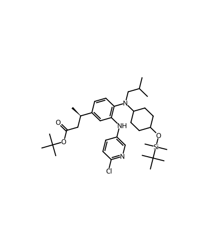 CC(C)CN(c1ccc([C@H](C)CC(=O)OC(C)(C)C)cc1Nc1ccc(Cl)nc1)C1CCC(O[Si](C)(C)C(C)(C)C)CC1